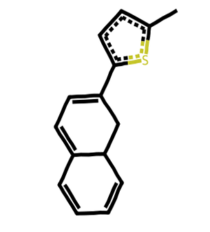 Cc1ccc(C2=CC=C3C=CC=CC3C2)s1